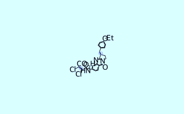 CCOc1ccc(/C=C2\CCn3c2nc2cc(NC(=O)/C(Cl)=C(/Cl)C(=O)O)ccc2c3=O)cc1